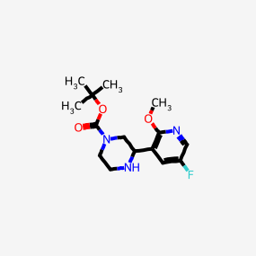 COc1ncc(F)cc1C1CN(C(=O)OC(C)(C)C)CCN1